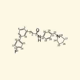 O=C(C=Cc1cccc(-c2ccc(F)cc2)c1)Nc1ccc(CN2CCCCC2)cc1